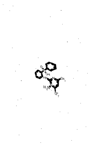 Cc1cc(C)n(N)c(=N)n1.O=P(O)(c1ccccc1)c1ccccc1